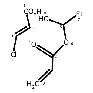 C=CC(=O)OC(O)CC.O=C(O)C=CCl